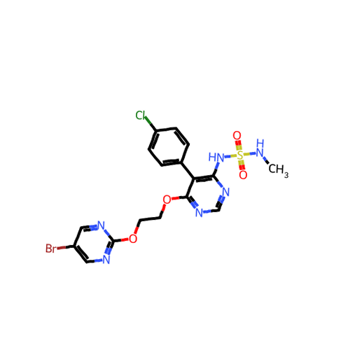 CNS(=O)(=O)Nc1ncnc(OCCOc2ncc(Br)cn2)c1-c1ccc(Cl)cc1